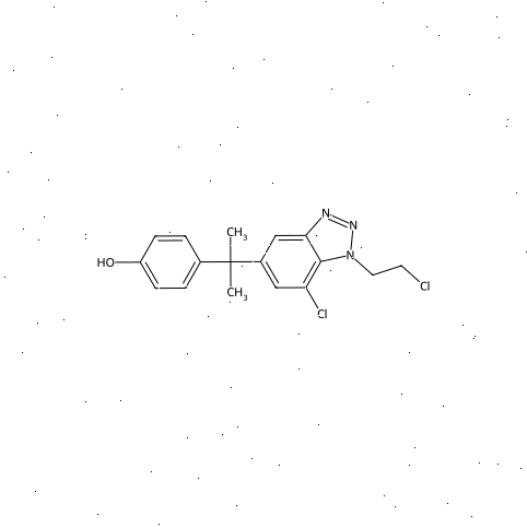 CC(C)(c1ccc(O)cc1)c1cc(Cl)c2c(c1)nnn2CCCl